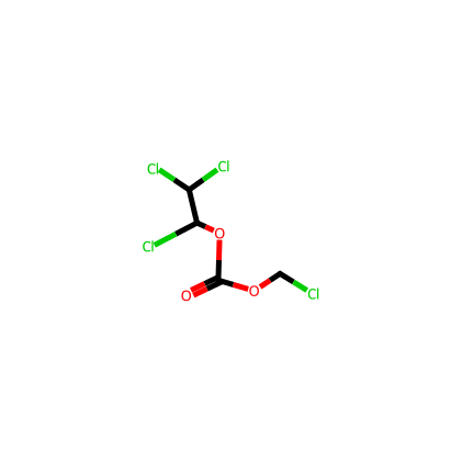 O=C(OCCl)OC(Cl)C(Cl)Cl